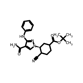 CC(C)(C)OC(=O)C1CCC(C#N)[C@@H](n2cc(C(N)=O)c(Nc3ccccc3)n2)C1